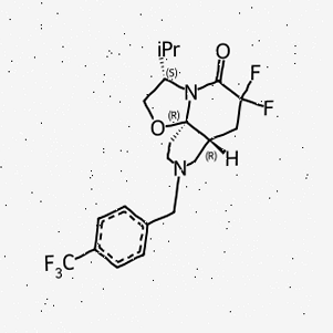 CC(C)[C@H]1CO[C@]23CCN(Cc4ccc(C(F)(F)F)cc4)C[C@H]2CC(F)(F)C(=O)N13